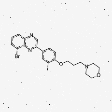 Cc1cc(-c2cnc3cccc(Br)c3n2)ccc1OCCCN1CCOCC1